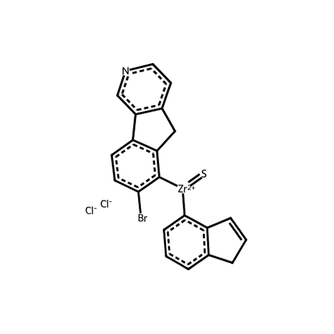 [Cl-].[Cl-].[S]=[Zr+2]([c]1cccc2c1C=CC2)[c]1c(Br)ccc2c1Cc1ccncc1-2